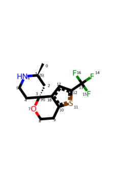 C[C@H]1C[C@@]2(CCN1)OCCc1sc(C(F)(F)F)cc12